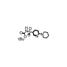 CC(C)(C)OC(=O)NS(=O)(=O)c1ccc(N2CCCCC2)nc1